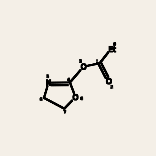 CCC(=O)OC1=NCCO1